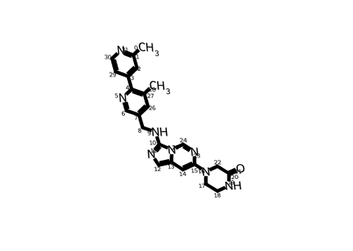 Cc1cc(-c2ncc(CNc3ncc4cc(N5CCNC(=O)C5)ncn34)cc2C)ccn1